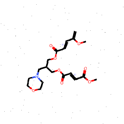 C=C(/C=C/C(=O)OCC(COC(=O)/C=C/C(=O)OC)CN1CCOCC1)OC